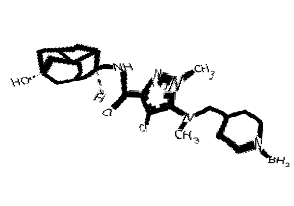 BN1CCC(CN(C)c2c(Cl)c(C(=O)N[C@H]3C4CC5CC3C[C@](O)(C5)C4)nn2C)CC1